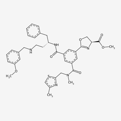 COC(=O)[C@@H]1COC(c2cc(C(=O)N[C@H](CCNCc3cccc(OC)c3)Cc3ccccc3)cc(C(=O)N(C)Cc3nc(C)cs3)c2)=N1